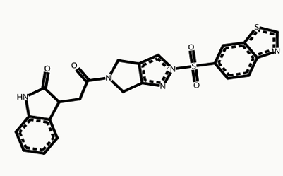 O=C1Nc2ccccc2C1CC(=O)N1Cc2cn(S(=O)(=O)c3ccc4ncsc4c3)nc2C1